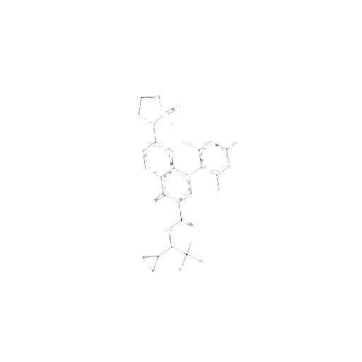 O=C(NC(C1CC1)C(F)(F)F)c1cn(-c2c(F)cc(F)cc2F)c2nc(N3CCNS3(=O)=O)ccc2c1=O